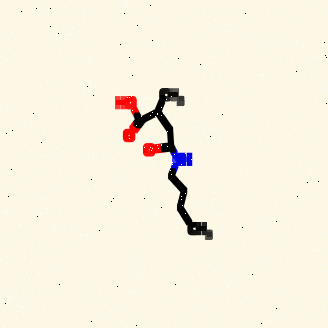 CCCCNC(=O)CC(C)C(=O)O